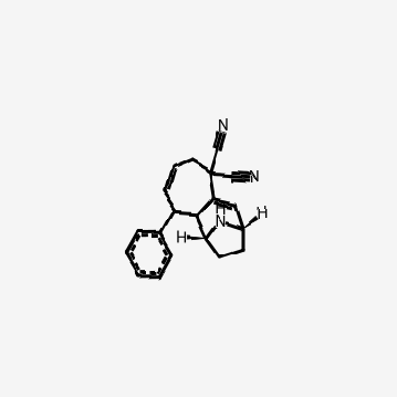 N#CC1(C#N)CC=CC(c2ccccc2)C2C1=C[C@@H]1CC[C@H]2N1